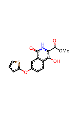 COC(=O)c1[nH]c(=O)c2cc(Oc3cccs3)ccc2c1O